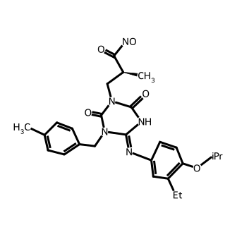 CCc1cc(/N=c2\[nH]c(=O)n(C[C@H](C)C(=O)N=O)c(=O)n2Cc2ccc(C)cc2)ccc1OC(C)C